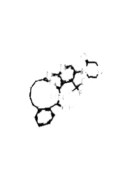 C=C1Nc2nc(nc3ncc(N4CCOCC4=O)c(C(F)(F)F)c23)CCCCc2ccccc21